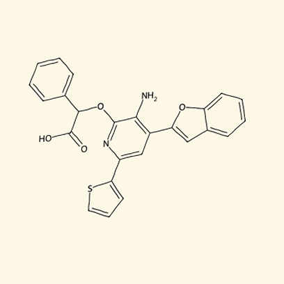 Nc1c(-c2cc3ccccc3o2)cc(-c2cccs2)nc1OC(C(=O)O)c1ccccc1